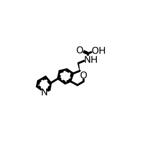 O=C(O)NC[C@H]1OCCc2cc(-c3cccnc3)ccc21